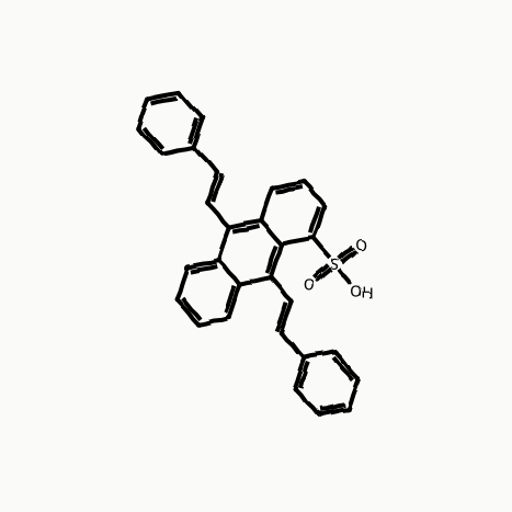 O=S(=O)(O)c1cccc2c(C=Cc3ccccc3)c3ccccc3c(C=Cc3ccccc3)c12